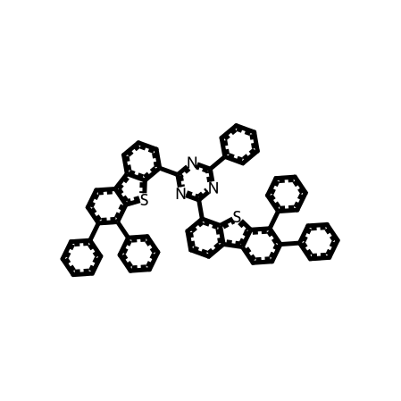 c1ccc(-c2nc(-c3cccc4c3sc3c(-c5ccccc5)c(-c5ccccc5)ccc34)nc(-c3cccc4c3sc3c(-c5ccccc5)c(-c5ccccc5)ccc34)n2)cc1